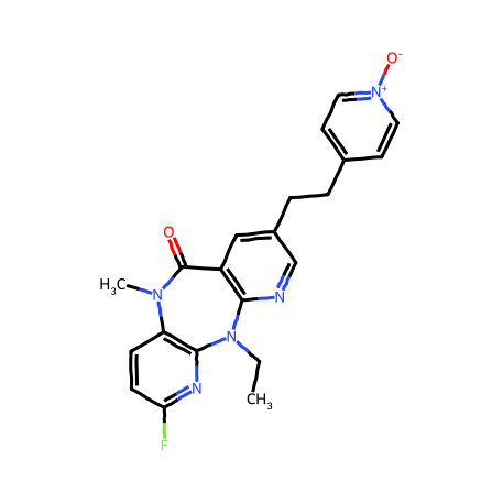 CCN1c2ncc(CCc3cc[n+]([O-])cc3)cc2C(=O)N(C)c2ccc(F)nc21